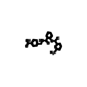 Cc1cccc(C(Cl)Oc2ccccc2C(=O)NCc2ccc(C(=O)O)cc2)n1